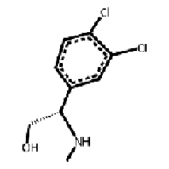 CN[C@H](CO)c1ccc(Cl)c(Cl)c1